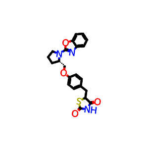 O=C1NC(=O)C(Cc2ccc(OC[C@@H]3CCCN3c3nc4ccccc4o3)cc2)S1